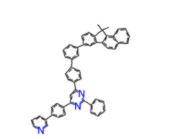 CC1(C)c2ccc(-c3cccc(-c4ccc(-c5cc(-c6ccc(-c7cccnc7)cc6)nc(-c6ccccc6)n5)cc4)c3)cc2-c2ccc3ccccc3c21